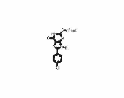 CCCCCSc1nc2c(nc(-c3ccc(Cl)cc3)n2CC)c(=O)[nH]1